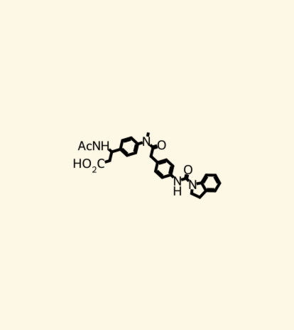 CC(=O)NC(CC(=O)O)c1ccc(N(C)C(=O)Cc2ccc(NC(=O)N3CCc4ccccc43)cc2)cc1